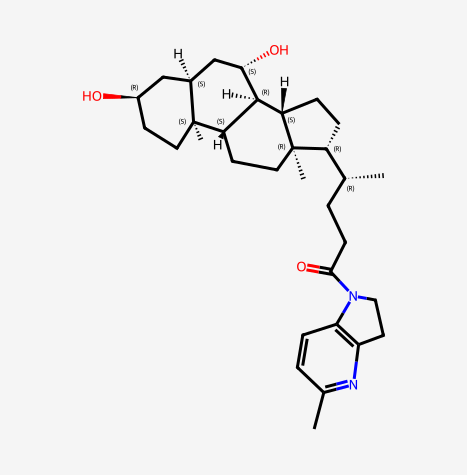 Cc1ccc2c(n1)CCN2C(=O)CC[C@@H](C)[C@H]1CC[C@H]2[C@@H]3[C@@H](O)C[C@@H]4C[C@H](O)CC[C@]4(C)[C@H]3CC[C@]12C